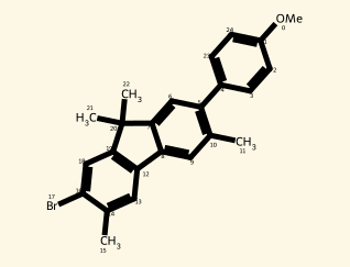 COc1ccc(-c2cc3c(cc2C)-c2cc(C)c(Br)cc2C3(C)C)cc1